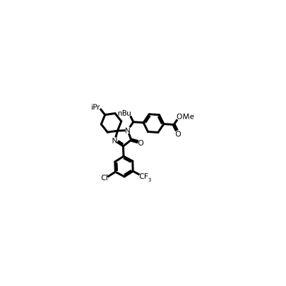 CCCCC(C1=CC=C(C(=O)OC)CC1)N1C(=O)C(c2cc(Cl)cc(C(F)(F)F)c2)=NC12CCC(C(C)C)CC2